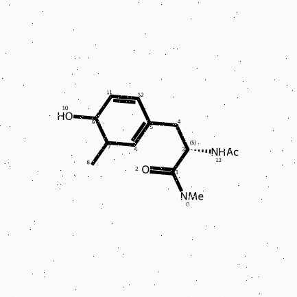 CNC(=O)[C@H](CC1=CC(C)C(O)C=C1)NC(C)=O